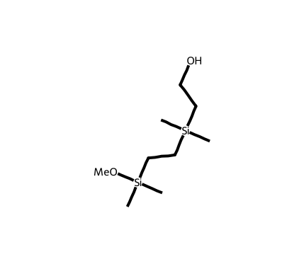 CO[Si](C)(C)CC[Si](C)(C)CCO